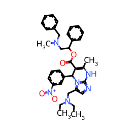 CCN(CC)Cc1cnc2n1C(c1cccc([N+](=O)[O-])c1)C(C(=O)OC(CN(C)Cc1ccccc1)c1ccccc1)=C(C)N2